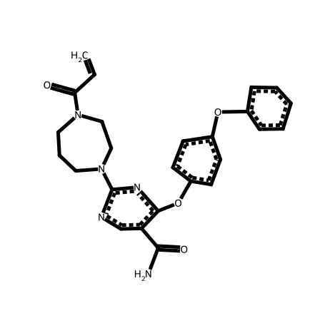 C=CC(=O)N1CCCN(c2ncc(C(N)=O)c(Oc3ccc(Oc4ccccc4)cc3)n2)CC1